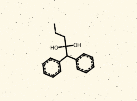 CCCC(O)(O)C(c1ccccc1)c1ccccc1